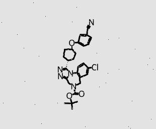 CC(C)(C)OC(=O)N1Cc2cc(Cl)ccc2-n2c(nnc2[C@H]2CC[C@H](Oc3cccc(C#N)c3)CC2)C1